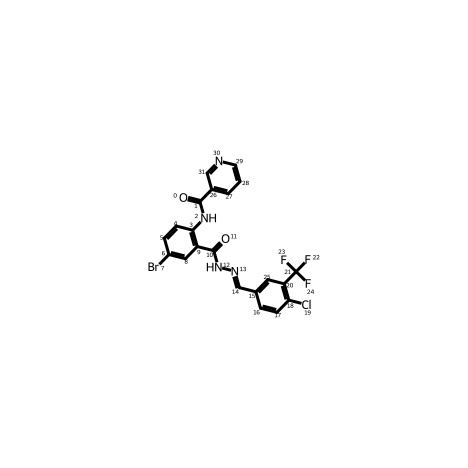 O=C(Nc1ccc(Br)cc1C(=O)NN=Cc1ccc(Cl)c(C(F)(F)F)c1)c1cccnc1